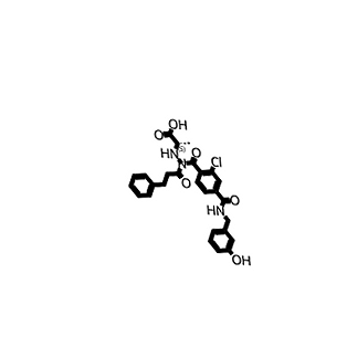 C[C@H](NN(C(=O)CCc1ccccc1)C(=O)c1ccc(C(=O)NCc2cccc(O)c2)cc1Cl)C(=O)O